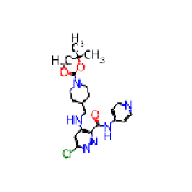 CC(C)(C)OC(=O)N1CCC(CNc2cc(Cl)nnc2C(=O)Nc2ccncc2)CC1